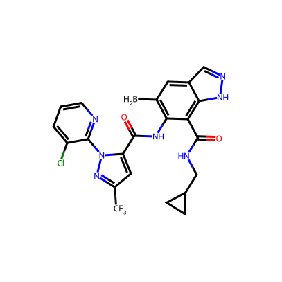 Bc1cc2cn[nH]c2c(C(=O)NCC2CC2)c1NC(=O)c1cc(C(F)(F)F)nn1-c1ncccc1Cl